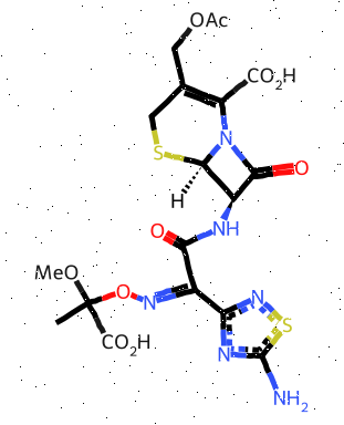 COC(C)(O/N=C(\C(=O)N[C@@H]1C(=O)N2C(C(=O)O)=C(COC(C)=O)CS[C@H]12)c1nsc(N)n1)C(=O)O